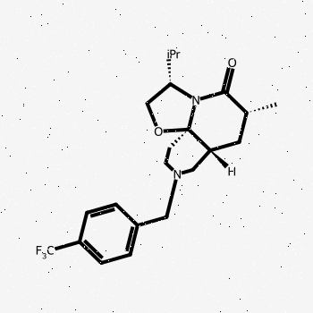 CC(C)[C@H]1CO[C@]23CCN(Cc4ccc(C(F)(F)F)cc4)C[C@H]2C[C@@H](C)C(=O)N13